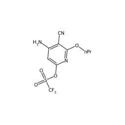 CCCOc1nc(OS(=O)(=O)C(F)(F)F)cc(N)c1C#N